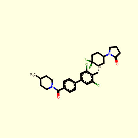 O=C(c1ccc(-c2cc(Cl)c(C[C@H]3CC(N4CCCC4=O)CCC3(F)F)c(Cl)c2)cc1)N1CCC(C(F)(F)F)CC1